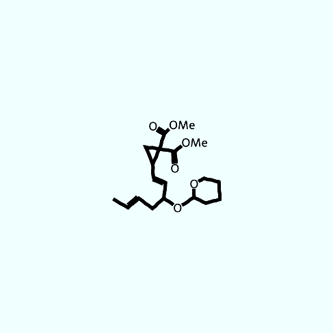 CC=CCC(C=CC1CC1(C(=O)OC)C(=O)OC)OC1CCCCO1